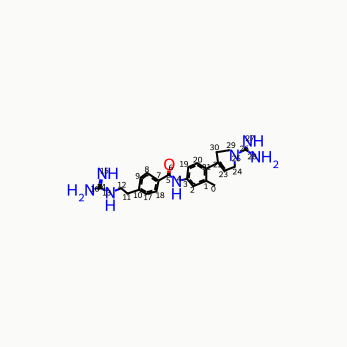 Cc1cc(NC(=O)c2ccc(CCNC(=N)N)cc2)ccc1C1=CCN(C(=N)N)CC1